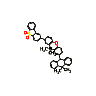 CC1(C)c2ccccc2C(c2ccc3c(c2)[Si](C)(C)c2cc(-c4ccc5c(c4)-c4ccccc4S5(=O)=O)ccc2O3)c2ccccc21